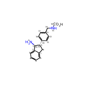 N[C@@H]1c2ccccc2C[C@H]1c1ccc(CNC(=O)O)cc1